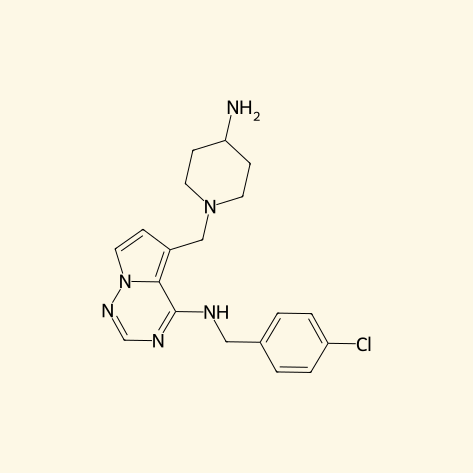 NC1CCN(Cc2ccn3ncnc(NCc4ccc(Cl)cc4)c23)CC1